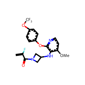 C=C(F)C(=O)N1CC(Nc2c(OC)ccnc2Oc2ccc(OC(F)(F)F)cc2)C1